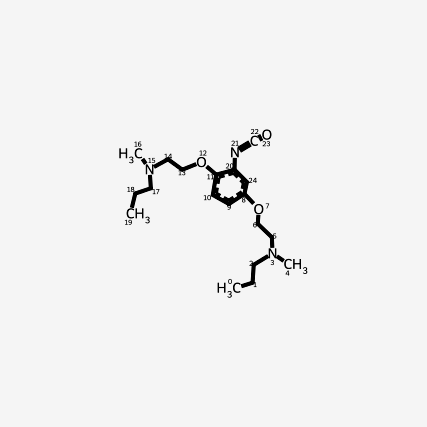 CCCN(C)CCOc1ccc(OCCN(C)CCC)c(N=C=O)c1